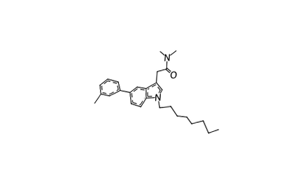 CCCCCCCCn1cc(CC(=O)N(C)C)c2cc(-c3cccc(C)c3)ccc21